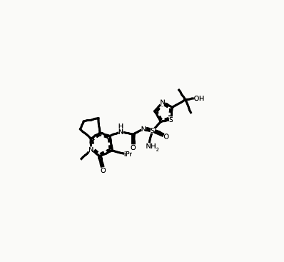 CC(C)c1c(NC(=O)N=S(N)(=O)c2cnc(C(C)(C)O)s2)c2c(n(C)c1=O)CCC2